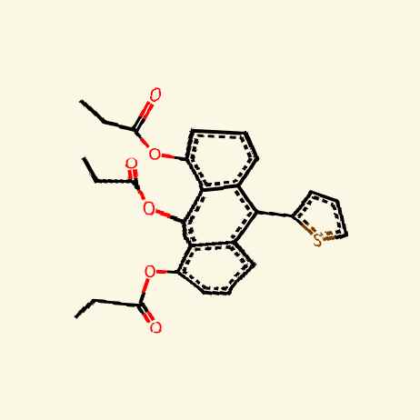 CCC(=O)Oc1cccc2c(-c3cccs3)c3cccc(OC(=O)CC)c3c(OC(=O)CC)c12